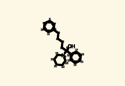 OC(CCCCc1ccccc1)(c1ccccc1)N1CCCCC1